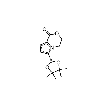 CC1(C)OB(c2ccc3n2CCOC3=O)OC1(C)C